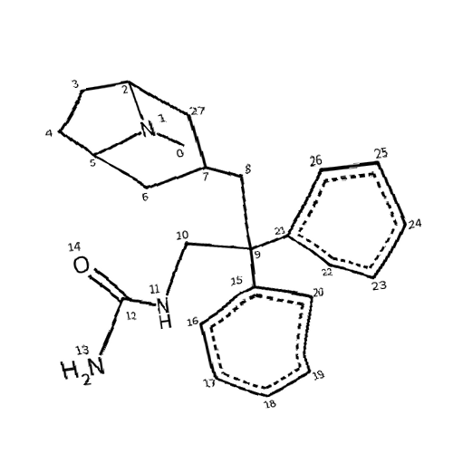 CN1C2CCC1CC(CC(CNC(N)=O)(c1ccccc1)c1ccccc1)C2